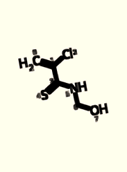 C=C(Cl)C(=S)NCO